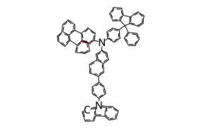 c1ccc(-c2cccc3cccc(-c4ccc(N(c5ccc(C6(c7ccccc7)c7ccccc7-c7ccccc76)cc5)c5ccc6cc(-c7ccc(-n8c9ccccc9c9ccccc98)cc7)ccc6c5)cc4)c23)cc1